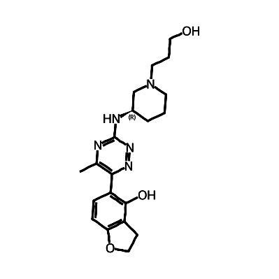 Cc1nc(N[C@@H]2CCCN(CCCO)C2)nnc1-c1ccc2c(c1O)CCO2